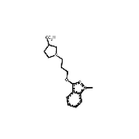 Cn1nc(OCCCN2CCC(C(=O)O)C2)c2ccccc21